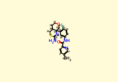 Bc1ccc(C(=O)Nc2ccc(F)c(C34COCCC3CSC(N)=N4)c2)nc1